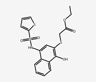 CCOC(=O)CSc1cc(NS(=O)(=O)c2cccs2)c2ccccc2c1O